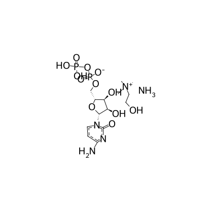 C[N+](C)(C)CCO.N.Nc1ccn([C@@H]2O[C@H](COP(=O)([O-])OP(=O)(O)O)[C@@H](O)[C@H]2O)c(=O)n1